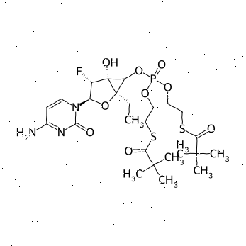 CC[C@]12O[C@@H](n3ccc(N)nc3=O)[C@H](F)[C@@]1(O)C2OP(=O)(OCCSC(=O)C(C)(C)C)OCCSC(=O)C(C)(C)C